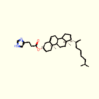 CC(C)CCCCC(C)[C@H]1CCC2C3CC=C4C[C@@H](OC(=O)CCc5c[nH]cn5)CC[C@]4(C)C3CC[C@@]21C